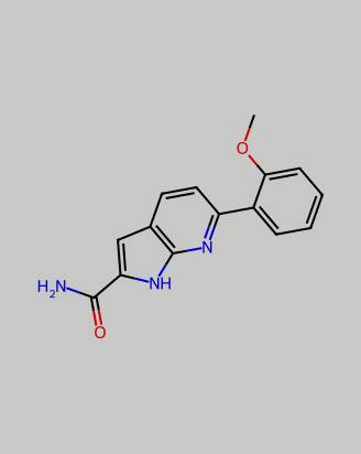 COc1ccccc1-c1ccc2cc(C(N)=O)[nH]c2n1